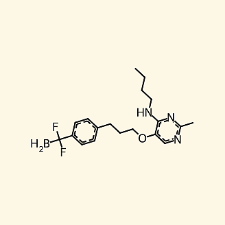 BC(F)(F)c1ccc(CCCOc2cnc(C)nc2NCCCC)cc1